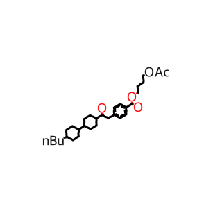 CCCCC1CCC(C2CCC(C(=O)Cc3ccc(C(=O)OCCCCOC(C)=O)cc3)CC2)CC1